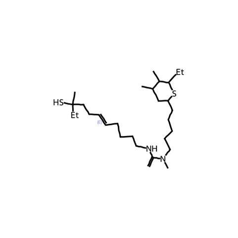 C=C(NCCCC/C=C/CCC(C)(S)CC)N(C)CCCCCC1CC(C)C(C)C(CC)S1